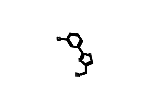 CC(C)Cc1csc(-c2cccc(Cl)c2)n1